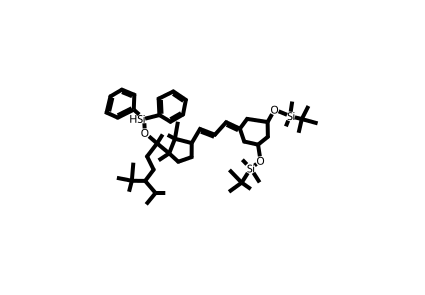 CC(C)C(CCC(C)(O[SiH](c1ccccc1)c1ccccc1)C1(C)CCC(C=CC=C2CC(O[Si](C)(C)C(C)(C)C)CC(O[Si](C)(C)C(C)(C)C)C2)C1(C)C)C(C)(C)C